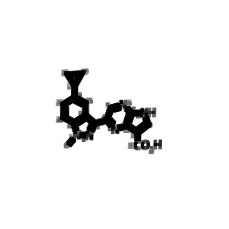 Cn1nc(-c2cnc3[nH]cc(C(=O)O)c3n2)c2cc(C3CC3)ccc21